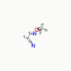 CC(C#N)/C=N/O[Si](C)(C)C